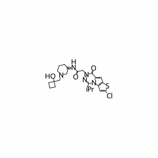 CC(C)c1nn(CC(=O)N[C@@H]2CCCN(CC3(O)CCC3)C2)c(=O)c2cc3sc(Cl)cc3n12